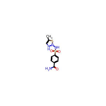 CC1=CNN(NS(=O)(=O)c2ccc(C(N)=O)cc2)S1